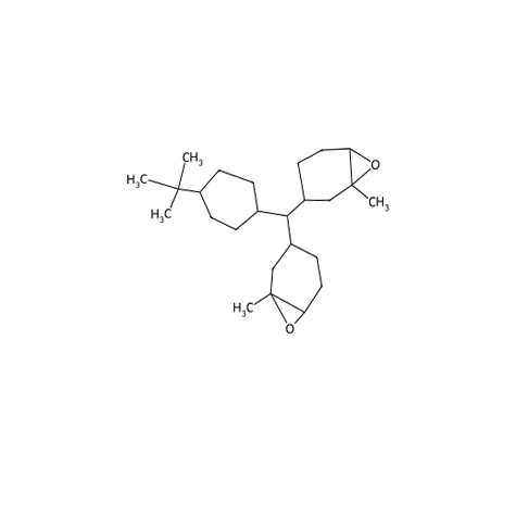 CC(C)(C)C1CCC(C(C2CCC3OC3(C)C2)C2CCC3OC3(C)C2)CC1